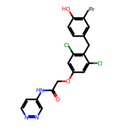 CC(C)c1cc(Cc2c(Cl)cc(OCC(=O)Nc3ccnnc3)cc2Cl)ccc1O